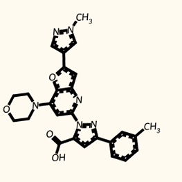 Cc1cccc(-c2cc(C(=O)O)n(-c3cc(N4CCOCC4)c4oc(-c5cnn(C)c5)cc4n3)n2)c1